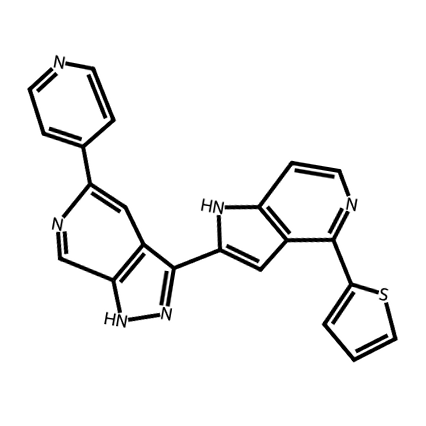 c1csc(-c2nccc3[nH]c(-c4n[nH]c5cnc(-c6ccncc6)cc45)cc23)c1